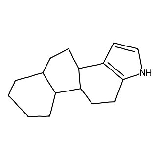 c1cc2c([nH]1)CCC1C2CCC2CCCCC21